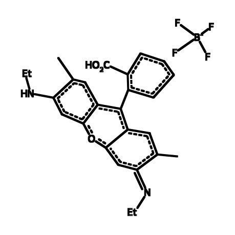 CCN=c1cc2oc3cc(NCC)c(C)cc3c(-c3ccccc3C(=O)O)c-2cc1C.F[B-](F)(F)F